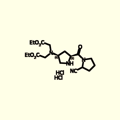 CCOC(=O)CN(CC(=O)OCC)[C@@H]1CN[C@H](C(=O)N2CCCC2C#N)C1.Cl.Cl